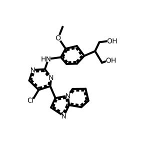 COc1cc(C(CO)CO)ccc1Nc1ncc(Cl)c(-c2cnc3ccccn23)n1